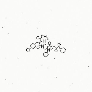 CC(=O)NC(Cc1ccc(Cl)cc1)C(=O)N1CCC2(CC1)C(=O)N(CC(=O)NC1CCCCC1)CN2c1ccccc1